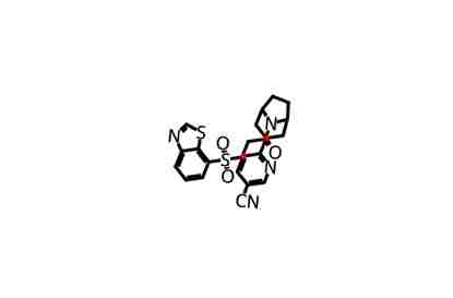 N#Cc1ccc(C2CC3CCC(C2)N3C(=O)CCS(=O)(=O)c2cccc3ncsc23)nc1